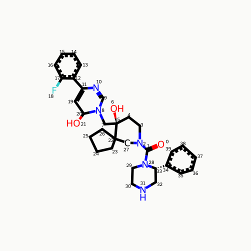 O=C(N1CC[C@@](O)(CN2C=NC(c3ccccc3F)=CC2O)C2(CCCC2)C1)N1CCNC[C@H]1c1ccccc1